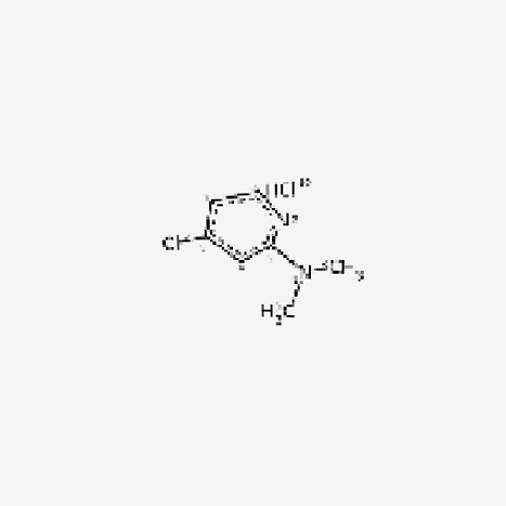 CN(C)c1cc(Cl)ccn1.Cl